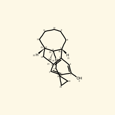 Oc1ccc2c(c1)[C@H]1CCCCC[C@@H](C2)[C@@H]1NCC1CC1